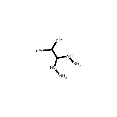 CCCC(CCC)C(NN)NN